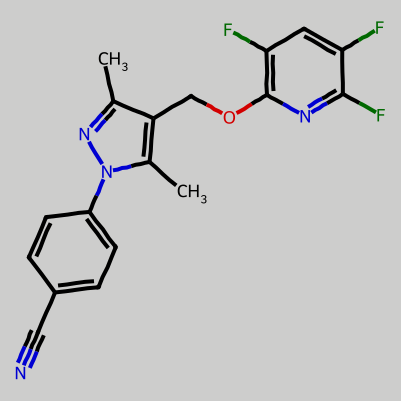 Cc1nn(-c2ccc(C#N)cc2)c(C)c1COc1nc(F)c(F)cc1F